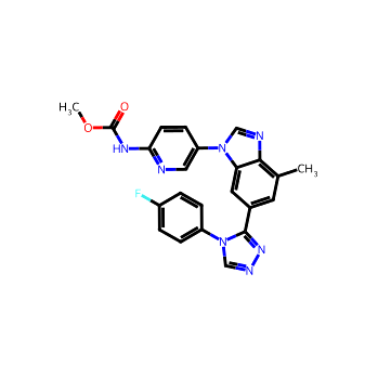 COC(=O)Nc1ccc(-n2cnc3c(C)cc(-c4nncn4-c4ccc(F)cc4)cc32)cn1